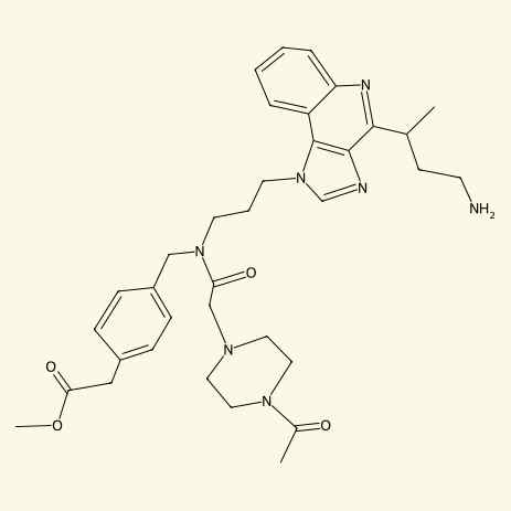 COC(=O)Cc1ccc(CN(CCCn2cnc3c(C(C)CCN)nc4ccccc4c32)C(=O)CN2CCN(C(C)=O)CC2)cc1